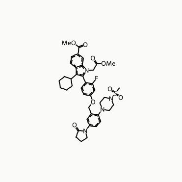 COC(=O)Cn1c(-c2ccc(OCc3cc(N4CCCC4=O)ccc3N3CCN(S(C)(=O)=O)CC3)cc2F)c(C2CCCCC2)c2ccc(C(=O)OC)cc21